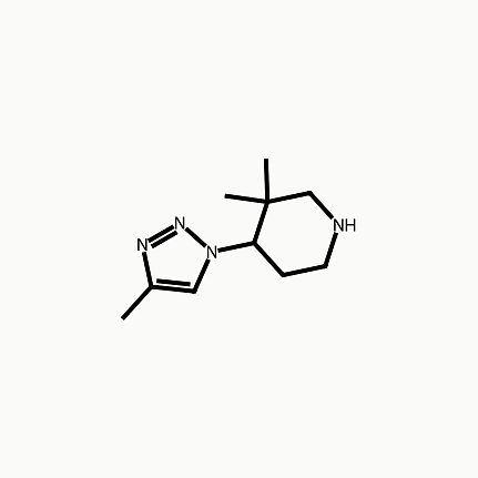 Cc1cn(C2CCNCC2(C)C)nn1